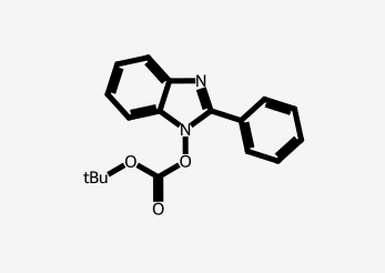 CC(C)(C)OC(=O)On1c(-c2ccccc2)nc2ccccc21